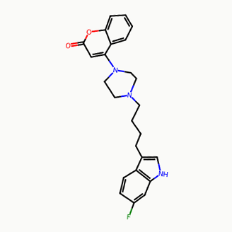 O=c1cc(N2CCN(CCCCc3c[nH]c4cc(F)ccc34)CC2)c2ccccc2o1